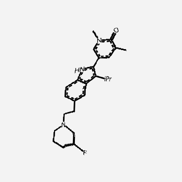 Cc1cc(-c2[nH]c3ccc(CCN4CCCC(F)C4)cc3c2C(C)C)cn(C)c1=O